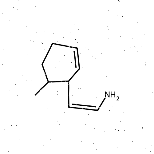 CC1CCC=CC1/C=C\N